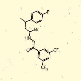 CC(CC(Br)NCC(=O)c1cc(C(F)(F)F)cc(C(F)(F)F)c1)c1ccc(F)cc1